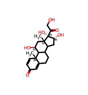 C[C@]12C=CC(=O)C=C1CCC1C2[C@@H](O)C[C@@]2(C)C1C[C@@H](O)[C@]2(O)C(=O)CO